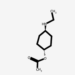 CCN[C@H]1CC[C@H](OC(C)=O)CC1